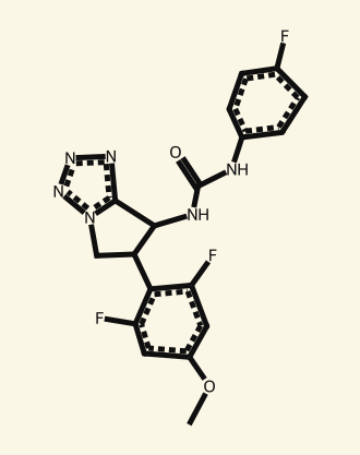 COc1cc(F)c(C2Cn3nnnc3C2NC(=O)Nc2ccc(F)cc2)c(F)c1